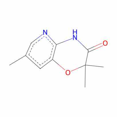 Cc1cnc2c(c1)OC(C)(C)C(=O)N2